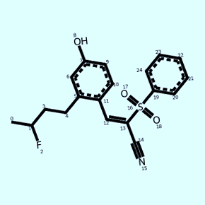 CC(F)CCc1cc(O)ccc1C=C(C#N)S(=O)(=O)c1ccccc1